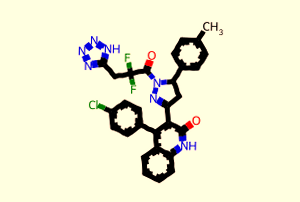 Cc1ccc(C2CC(c3c(-c4ccc(Cl)cc4)c4ccccc4[nH]c3=O)=NN2C(=O)C(F)(F)Cc2nnn[nH]2)cc1